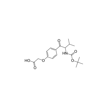 CC(C)C(NC(=O)OC(C)(C)C)C(=O)c1ccc(OCC(=O)O)cc1